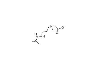 C=C(C)C(=O)NCCC[N+](C)(C)CC(=O)[O-]